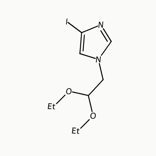 CCOC(Cn1cnc(I)c1)OCC